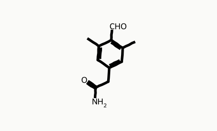 Cc1cc(CC(N)=O)cc(C)c1C=O